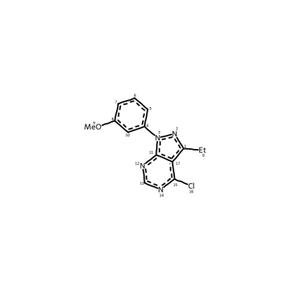 CCc1nn(-c2cccc(OC)c2)c2ncnc(Cl)c12